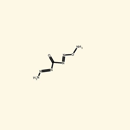 NN=NC(=O)N=NON